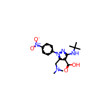 CN(C)Cc1c(C(=O)O)c(NC(C)(C)C)nn1-c1ccc([N+](=O)[O-])cc1